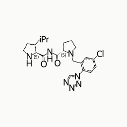 CC(C)C1CCN[C@@H]1C(=O)NC(=O)[C@@H]1CCCN1Cc1cc(Cl)ccc1-n1cnnn1